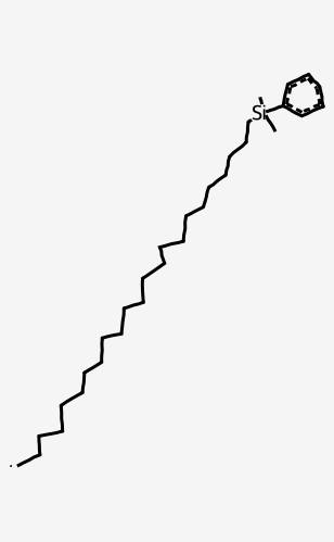 [CH2]CCCCCCCCCCCCCCCCCCCCCC[Si](C)(C)c1ccccc1